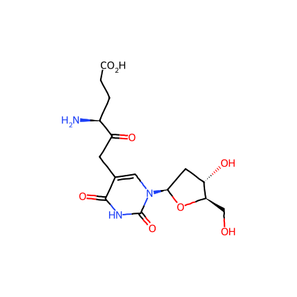 N[C@@H](CCC(=O)O)C(=O)Cc1cn([C@H]2C[C@H](O)[C@@H](CO)O2)c(=O)[nH]c1=O